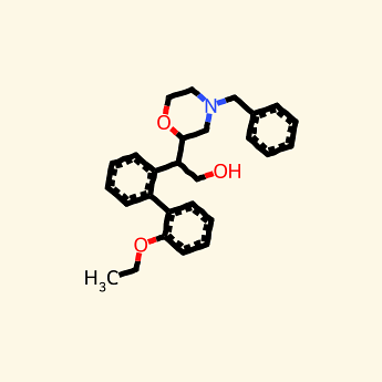 CCOc1ccccc1-c1ccccc1C(CO)C1CN(Cc2ccccc2)CCO1